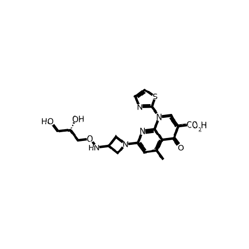 Cc1cc(N2CC(NOC[C@@H](O)CO)C2)nc2c1c(=O)c(C(=O)O)cn2-c1nccs1